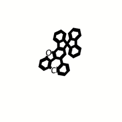 Clc1cccc2oc3c4c(cc(-c5ccccc5)c3c12)C1(c2ccccc2-c2ccccc21)c1ccccc1-4